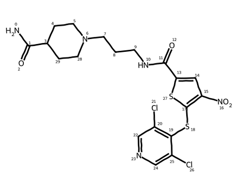 NC(=O)C1CCN(CCCNC(=O)c2cc([N+](=O)[O-])c(Sc3c(Cl)cncc3Cl)s2)CC1